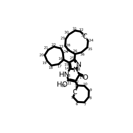 O=c1c(C2CCCCCCC2)c(O)[nH]c2c(C3CCCCCCCC3)c(C3CCCCCCCCCC3)nn12